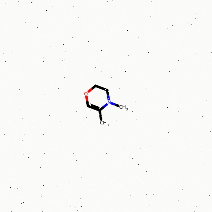 CC1=COCCN1C